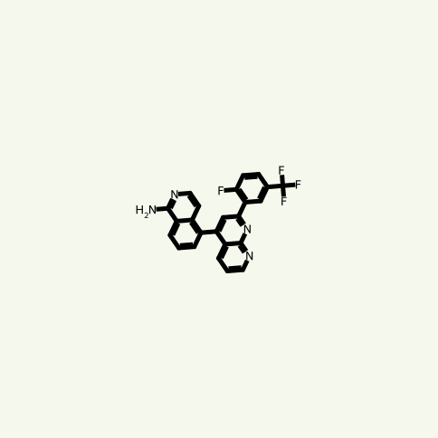 Nc1nccc2c(-c3cc(-c4cc(C(F)(F)F)ccc4F)nc4ncccc34)cccc12